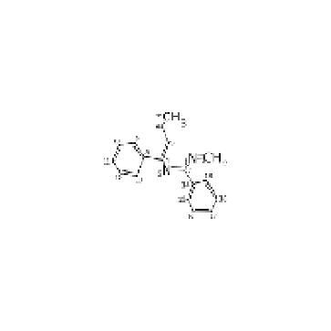 C=N/C(=N\C(=C\CC)c1ccccc1)c1ccccc1